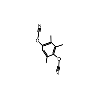 Cc1cc(OC#N)c(C)c(C)c1OC#N